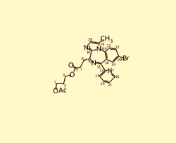 CC(=O)OCCCOC(=O)CC[C@@H]1N=C(c2ccccn2)c2cc(Br)ccc2-n2c(C)cnc21